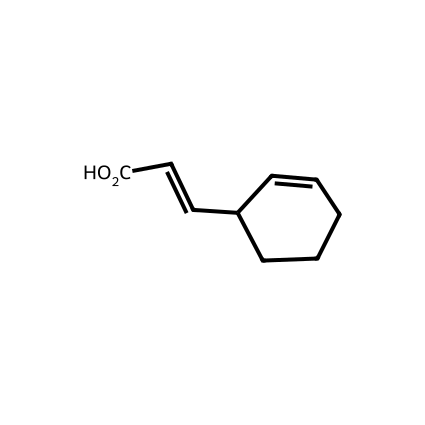 O=C(O)C=CC1C=CCCC1